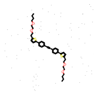 CCCCOCCOCCc1ccc(-c2ccc(C#Cc3ccc(-c4ccc(CCOCCOCCCC)s4)cc3)cc2)s1